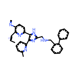 C=Nc1ccc(-c2[nH]c(CNCc3ccccc3-c3ccccc3)nc2-c2cccc(C)n2)nc1/C=C\C